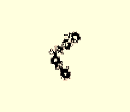 O=C(c1ccc2nc(-c3ccccc3)sc2c1)N1CC(N2CCN(c3ncccn3)C(=O)C2)C1